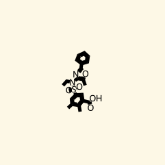 CCN(c1nc(-c2ccccc2)oc1C)S(=O)(=O)c1cc(C)c(C)c(C(=O)O)c1